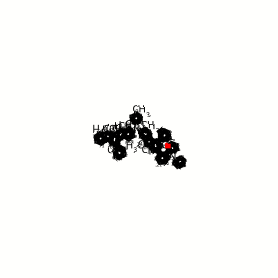 Cc1cc(C)c(N(c2ccc3c(c2)C(C)(C)c2cc(-c4cccc5c4c4ccccc4n5-c4ccccc4)c4oc5ccccc5c4c2-3)c2ccc3c(c2)C(C)(C)c2c4c(c5oc6ccccc6c5c2-3)-c2ccccc2C4(C)C)c(C)c1